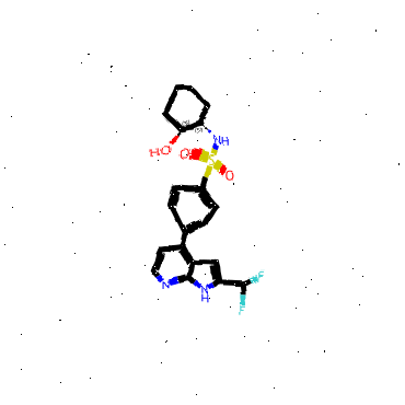 O=S(=O)(N[C@H]1CCCC[C@@H]1O)c1ccc(-c2ccnc3[nH]c(C(F)F)cc23)cc1